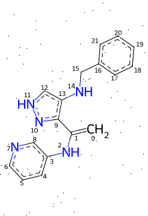 C=C(Nc1cccnc1)c1n[nH]cc1NCc1ccccc1